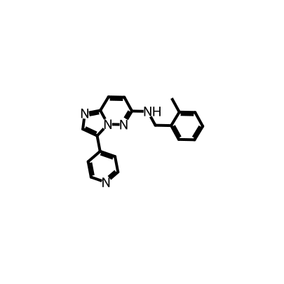 Cc1ccccc1CNc1ccc2ncc(-c3ccncc3)n2n1